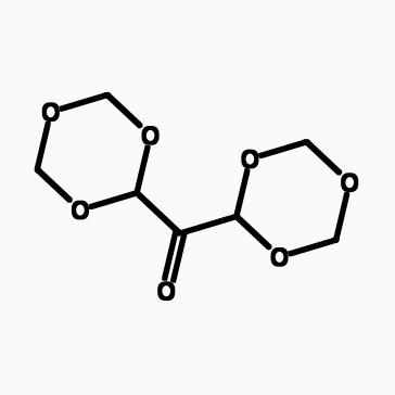 O=C(C1OCOCO1)C1OCOCO1